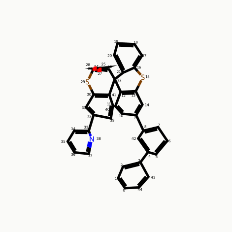 c1ccc(-c2cccc(-c3ccc4c(c3)Sc3ccccc3C43c4ccccc4Sc4cc(-c5ccccn5)ccc43)c2)cc1